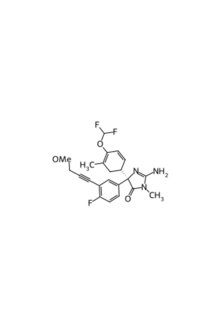 COCC#Cc1cc([C@@]2(C3C=CC(OC(F)F)=C(C)C3)N=C(N)N(C)C2=O)ccc1F